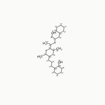 CC1CC(C(C)CC(CO)CC2CCCCC2)C(C)CC1CCCC1CCCCC1O